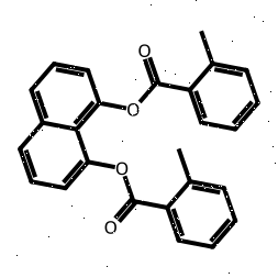 Cc1ccccc1C(=O)Oc1cccc2cccc(OC(=O)c3ccccc3C)c12